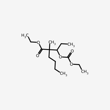 CCCCC(C)(C(=O)OCC)C(CC)OC(=O)OCC